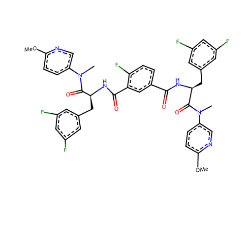 COc1ccc(N(C)C(=O)[C@H](Cc2cc(F)cc(F)c2)NC(=O)c2ccc(F)c(C(=O)N[C@@H](Cc3cc(F)cc(F)c3)C(=O)N(C)c3ccc(OC)nc3)c2)cn1